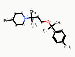 Cc1ccc(C(C)(C)OCCC(C)(C)N2CCC(C(C)C)CC2)cc1